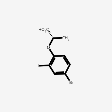 C[C@H](Oc1ccc(Br)cc1I)C(=O)O